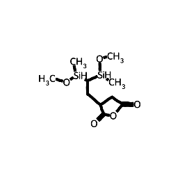 CO[SiH](C)C(CC1CC(=O)OC1=O)[SiH](C)OC